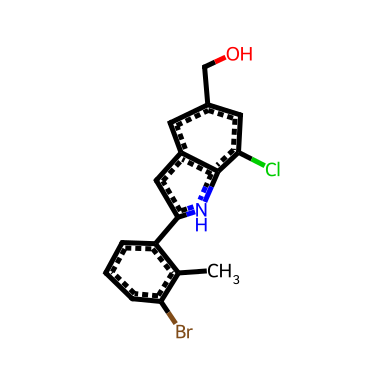 Cc1c(Br)cccc1-c1cc2cc(CO)cc(Cl)c2[nH]1